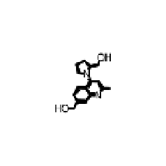 Cc1cc(N2CCCC2CO)c2ccc(CO)cc2n1